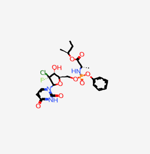 CC[C@H](C)OC(=O)[C@H](C)NP(=O)(OC[C@H]1O[C@@H](n2ccc(=O)[nH]c2=O)[C@@](F)(Cl)[C@@H]1O)Oc1ccccc1